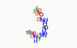 CC(C)(C)OC(=O)NC1CCN(c2nccc(-c3ccc4cnc(CNC(=O)c5cccc(S(=O)(=O)C(F)F)c5)cc4n3)n2)CC1(F)F